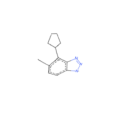 Cc1ccc2c(c1C1CCCC1)N=N[N]2